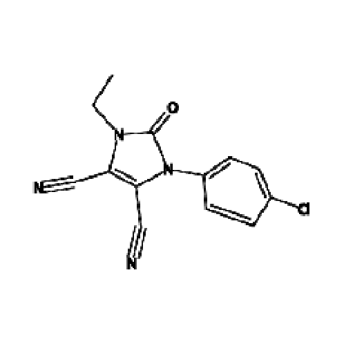 CCn1c(C#N)c(C#N)n(-c2ccc(Cl)cc2)c1=O